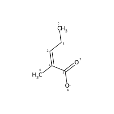 CCC=C(C)C([O])=O